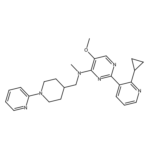 COc1cnc(-c2cccnc2C2CC2)nc1N(C)CC1CCN(c2ccccn2)CC1